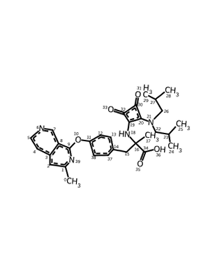 Cc1cc2ccncc2c(Oc2ccc(CC(C)(Nc3c(N(CC(C)C)CC(C)C)c(=O)c3=O)C(=O)O)cc2)n1